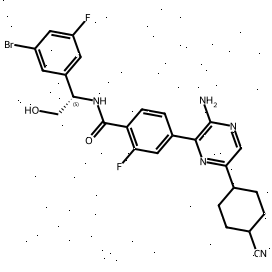 N#CC1CCC(c2cnc(N)c(-c3ccc(C(=O)N[C@H](CO)c4cc(F)cc(Br)c4)c(F)c3)n2)CC1